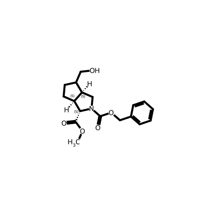 COC(=O)[C@@H]1[C@H]2CCC(CO)[C@H]2CN1C(=O)OCc1ccccc1